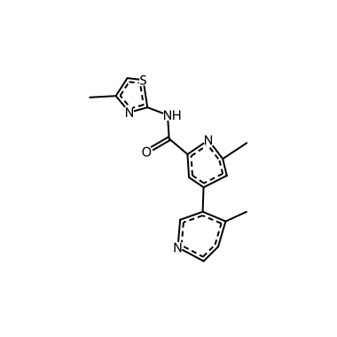 Cc1cc(-c2cnccc2C)cc(C(=O)Nc2nc(C)cs2)n1